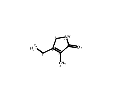 CCC1=C(C)C(=O)NC1